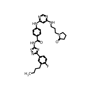 CCCCc1cc(-c2nsc(NC(=O)c3ccc(Nc4cc(NCCCN5CCCC5=O)ncn4)cc3)n2)ccc1F